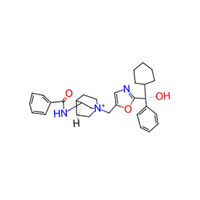 O=C(N[C@@H]1C[N+]2(Cc3cnc([C@](O)(c4ccccc4)C4CCCCC4)o3)CCC1CC2)c1ccccc1